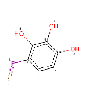 Oc1ccc(P=S)c(O)c1O